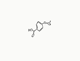 COOc1ccc(C(=O)O)cc1